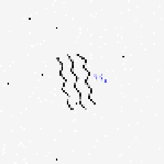 CCCCCCCC.CCCCCCCC.CCCCCCCC.N